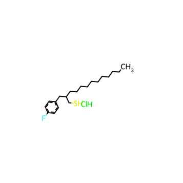 CCCCCCCCCCCC(CS)Cc1ccc(F)cc1.Cl